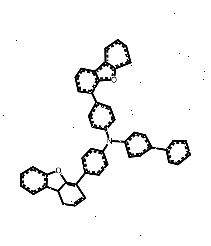 C1=CC(c2ccc(N(c3ccc(-c4ccccc4)cc3)c3ccc(-c4cccc5c4oc4ccccc45)cc3)cc2)=C2Oc3ccccc3C2C1